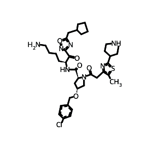 Cc1sc(C2CCNCC2)nc1CC(=O)N1C[C@H](OCc2ccc(Cl)cc2)C[C@H]1C(=O)N[C@@H](CCCCN)C(=O)c1noc(CC2CCCC2)n1